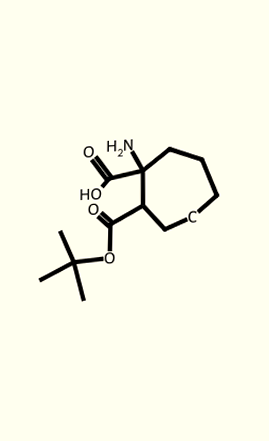 CC(C)(C)OC(=O)C1CCCCCC1(N)C(=O)O